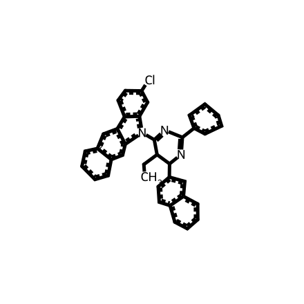 CCC1C(n2c3cc(Cl)ccc3c3cc4ccccc4cc32)=NC(c2ccccc2)=NC1c1ccc2ccccc2c1